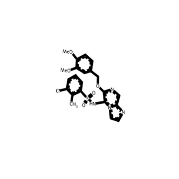 COc1ccc(COc2ncc3nccn3c2NS(=O)(=O)c2cccc(Cl)c2C)cc1OC